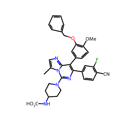 COc1ccc(-c2c(-c3ccc(C#N)c(F)c3)nc(N3CCC(NC(=O)O)CC3)n3c(C)cnc23)cc1OCc1ccccc1